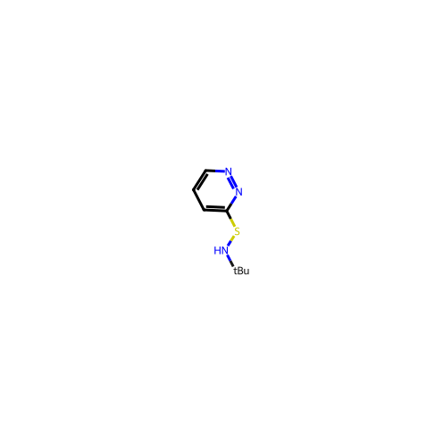 CC(C)(C)NSc1cccnn1